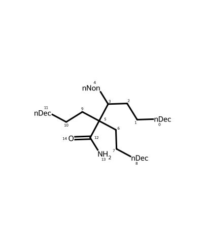 CCCCCCCCCCCCC(CCCCCCCCC)C(CCCCCCCCCCCC)(CCCCCCCCCCCC)C(N)=O